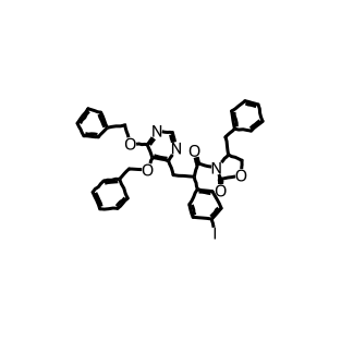 O=C1OCC(Cc2ccccc2)N1C(=O)C(Cc1ncnc(OCc2ccccc2)c1OCc1ccccc1)c1ccc(I)cc1